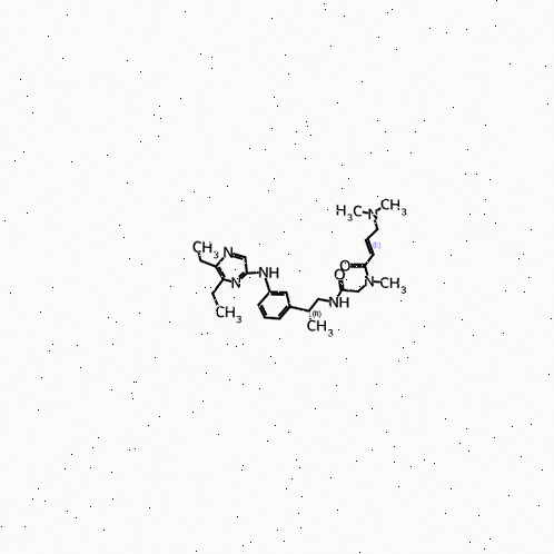 CCc1ncc(Nc2cccc([C@@H](C)CNC(=O)CN(C)C(=O)/C=C/CN(C)C)c2)nc1CC